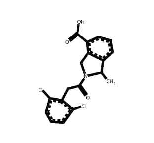 CC1c2cccc(C(=O)O)c2CN1C(=O)Cc1c(Cl)cccc1Cl